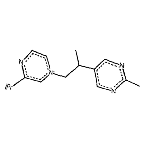 Cc1ncc(C(C)C[n+]2ccnc(C(C)C)c2)cn1